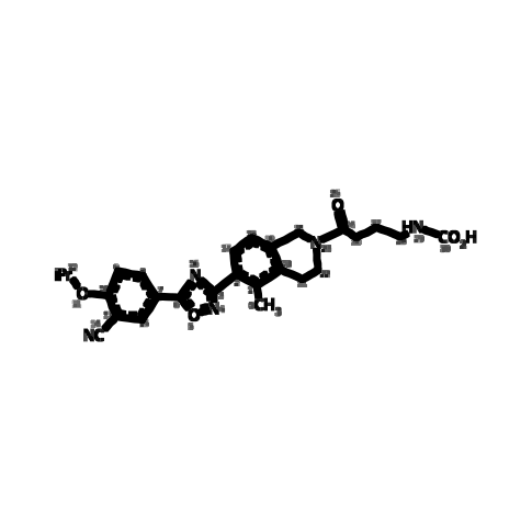 Cc1c(-c2noc(-c3ccc(OC(C)C)c(C#N)c3)n2)ccc2c1CCN(C(=O)CCCNC(=O)O)C2